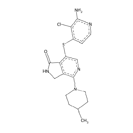 CC1CCN(c2ncc(Sc3ccnc(N)c3Cl)c3c2CNC3=O)CC1